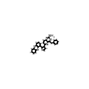 Nc1nc(Cc2ccccc2)c2nc(-c3ccsc3-c3cccc4c3Sc3ccccc3S4)ccc2n1